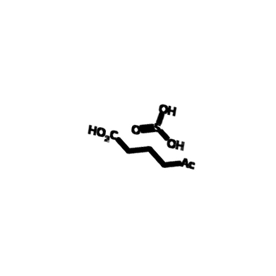 CC(=O)CCCC(=O)O.O=S(O)O